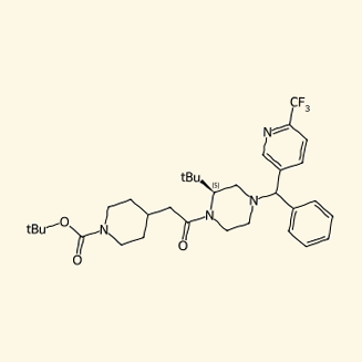 CC(C)(C)OC(=O)N1CCC(CC(=O)N2CCN(C(c3ccccc3)c3ccc(C(F)(F)F)nc3)C[C@@H]2C(C)(C)C)CC1